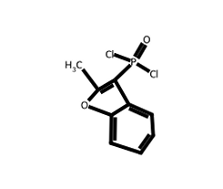 Cc1oc2ccccc2c1P(=O)(Cl)Cl